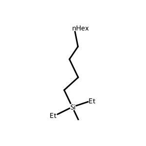 CCCCCCCCCC[Si](C)(CC)CC